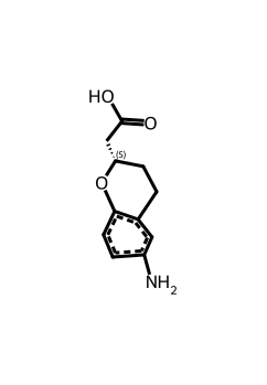 Nc1ccc2c(c1)CC[C@@H](CC(=O)O)O2